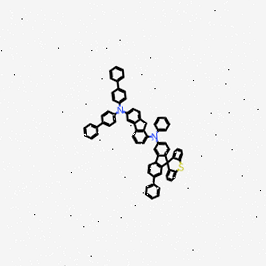 c1ccc(-c2ccc(N(c3ccc(-c4ccccc4)cc3)c3ccc4c(c3)-c3cccc(N(c5ccccc5)c5ccc6c(c5)-c5ccc(-c7ccccc7)cc5C65c6ccccc6Sc6ccccc65)c3C4)cc2)cc1